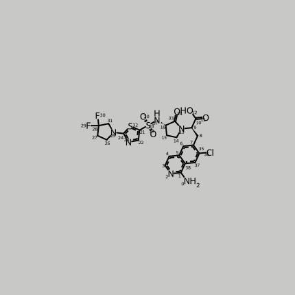 Nc1nccc2cc(C[C@H](C(=O)O)N3CC[C@H](NS(=O)(=O)c4cnc(N5CCC(F)(F)C5)s4)C3=O)c(Cl)cc12